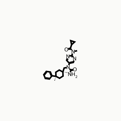 CN(C(=O)C1CC1)c1ncc(N(C[C@]2(C)CC[C@](C)(c3ccccc3)CC2)C(N)=O)cn1